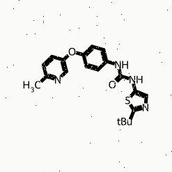 Cc1ccc(Oc2ccc(NC(=O)Nc3cnc(C(C)(C)C)s3)cc2)cn1